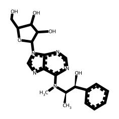 C[C@H]([C@@H](O)c1ccccc1)N(C)c1ncnc2c1ncn2C1OC(CO)C(O)C1O